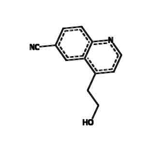 N#Cc1ccc2nccc(CCO)c2c1